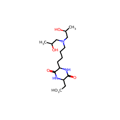 CC(O)CN(CCCCC1NC(=O)C(CC(=O)O)NC1=O)CC(C)O